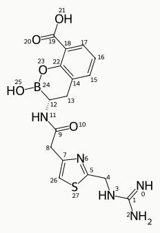 N=C(N)NCc1nc(CC(=O)N[C@H]2Cc3cccc(C(=O)O)c3OB2O)cs1